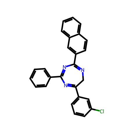 Clc1cccc(C2=NC(c3ccccc3)=NC(c3ccc4ccccc4c3)=NC2)c1